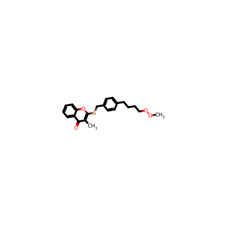 COOCCCCc1ccc(CSc2oc3ccccc3c(=O)c2C)cc1